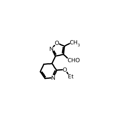 CCOC1=NC=CCC1c1noc(C)c1C=O